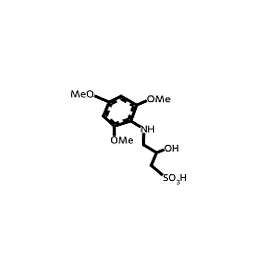 COc1cc(OC)c(NCC(O)CS(=O)(=O)O)c(OC)c1